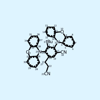 CC(C)(C)c1c(N2c3ccccc3Oc3ccccc32)c(C#N)cc(CCC#N)c1N1c2ccccc2Oc2ccccc21